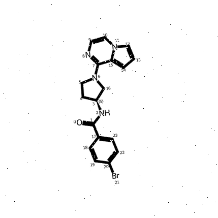 O=C(N[C@H]1CCN(c2nccn3cccc23)C1)c1ccc(Br)cc1